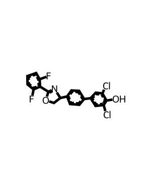 Oc1c(Cl)cc(-c2ccc(C3COC(c4c(F)cccc4F)=N3)cc2)cc1Cl